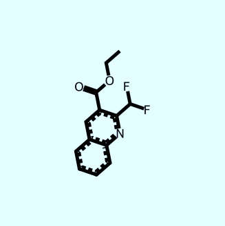 CCOC(=O)c1cc2ccccc2nc1C(F)F